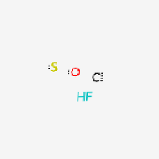 F.[C].[O].[S]